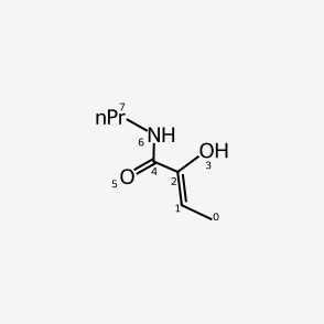 CC=C(O)C(=O)NCCC